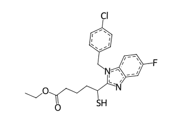 CCOC(=O)CCCC(S)c1nc2cc(F)ccc2n1Cc1ccc(Cl)cc1